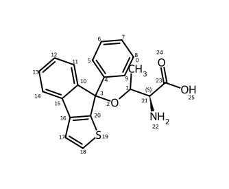 CC(OC1(c2ccccc2)c2ccccc2-c2ccsc21)[C@H](N)C(=O)O